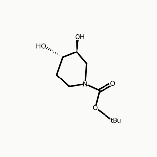 CC(C)(C)OC(=O)N1CC[C@H](O)[C@@H](O)C1